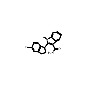 Cn1c(C2CCc3cc(F)ccc32)c(C(N)=O)c2ccccc21